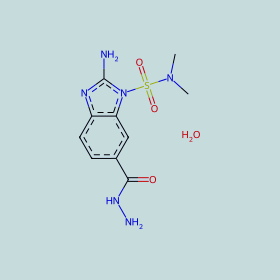 CN(C)S(=O)(=O)n1c(N)nc2ccc(C(=O)NN)cc21.O